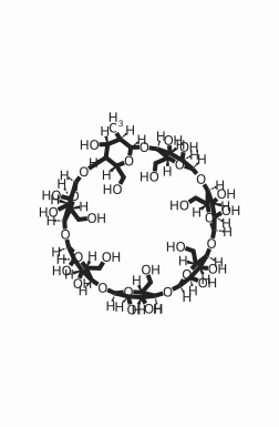 C[C@H]1[C@H]2O[C@H]3[C@H](O)[C@@H](O)[C@@H](O[C@H]4[C@H](O)[C@@H](O)[C@@H](O[C@H]5[C@H](O)[C@@H](O)[C@@H](O[C@H]6[C@H](O)[C@@H](O)[C@@H](O[C@H]7[C@H](O)[C@@H](O)[C@@H](O[C@H]8[C@H](O)[C@@H](O)[C@@H](O[C@@H]([C@@H]1O)[C@@H](CO)O2)O[C@@H]8CO)O[C@@H]7CO)O[C@@H]6CO)O[C@@H]5CO)O[C@@H]4CO)O[C@@H]3CO